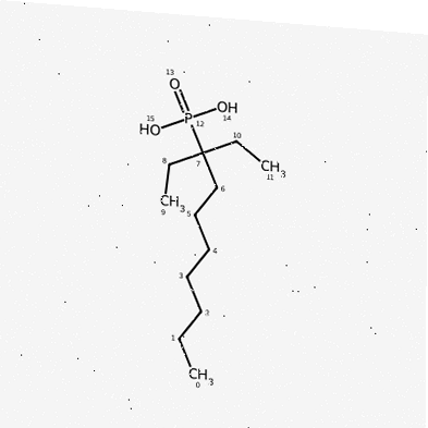 CCCCCCCC(CC)(CC)P(=O)(O)O